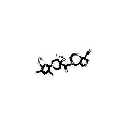 COc1nc(N2CCC(OC)(C(=O)N3CCOc4c(C#N)cncc4C3)CC2)c(F)cc1F